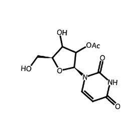 CC(=O)OC1C(O)[C@H](CO)O[C@@H]1n1ccc(=O)[nH]c1=O